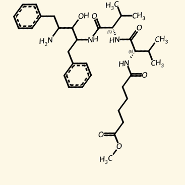 COC(=O)CCCCC(=O)N[C@H](C(=O)N[C@H](C(=O)NC(Cc1ccccc1)C(O)C(N)Cc1ccccc1)C(C)C)C(C)C